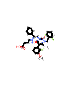 COc1cccc(-c2c(C)n(Cc3c(F)cccc3F)c(=O)n(C[C@H](NCCCC(=O)O)c3ccccc3)c2=O)c1F